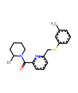 CCC1CCCCN1C(=O)c1cccc(CSc2cccc(C(F)(F)F)c2)n1